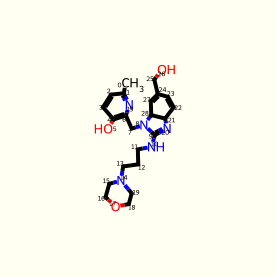 Cc1ccc(O)c(CN2C(NCCCN3CCOCC3)=NC3C=CC(CO)=CC32)n1